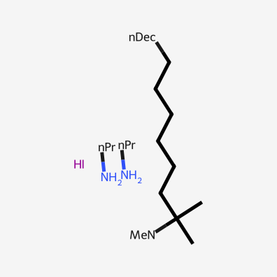 CCCCCCCCCCCCCCCCC(C)(C)NC.CCCN.CCCN.I